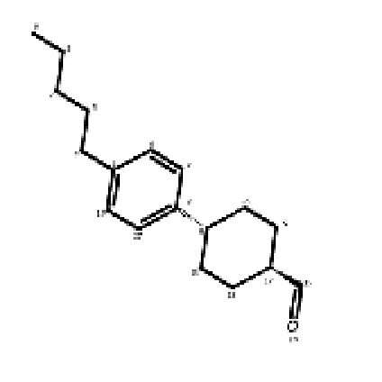 CCCCCc1ccc([C@H]2CC[C@H](C=O)CC2)cc1